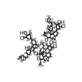 CN(C)Cc1ccc(Nc2c(C(=O)C3CC3)cnc3ccc(-c4cc(Cl)c(O)c(Cl)c4)cc23)cn1.CN1CCN(Cc2ccc(Nc3c(CC=O)cnc4ccc(-c5cc(F)c(O)c(Cl)c5)cc34)cc2)CC1.O=C(c1cnc2ccc(-c3cc(Cl)c(O)c(Cl)c3)cc2c1Nc1ccc(CN2CCCC2)nc1)C1CC1